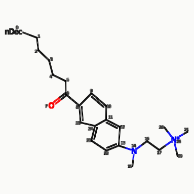 CCCCCCCCCCCCCCCC(=O)c1ccc2cc(N(C)CC[N+](C)(C)C)ccc2c1